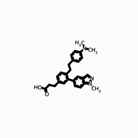 CN(C)c1ccc(CCc2ccc(CCC(=O)O)cc2-c2ccc3c(cnn3C)c2)cc1